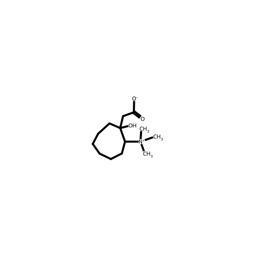 C[N+](C)(C)C1CCCCCCC1(O)CC(=O)[O-]